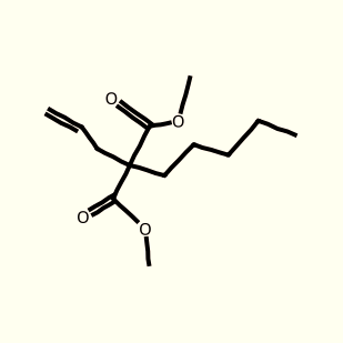 C=CCC(CCCCC)(C(=O)OC)C(=O)OC